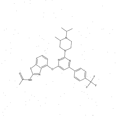 CC(=O)Nc1nc2c(Oc3cc(-c4ccc(C(F)(F)F)cc4)nc(N4CCN(C(C)C)C(C)C4)n3)cccc2s1